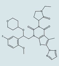 CCN1CCC(n2c(=O)c3c(C)c(-n4nccn4)sc3n(CC(OC3CCOCC3)c3cc(F)ccc3OC)c2=O)C1=O